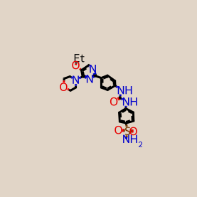 CCOc1cnc(-c2ccc(NC(=O)Nc3ccc(S(N)(=O)=O)cc3)cc2)nc1N1CCOCC1